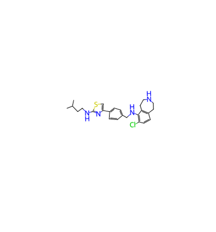 CC(C)CCNc1nc(-c2ccc(CNc3c(Cl)ccc4c3CCNCC4)cc2)cs1